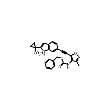 Cc1noc(C#Cc2ccc3cc(C4(C(=O)O)CC4)[nH]c3c2)c1NC(=O)OCc1ccccc1